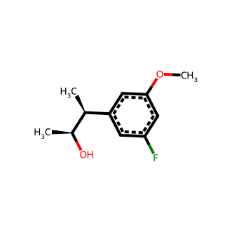 COc1cc(F)cc([C@H](C)[C@H](C)O)c1